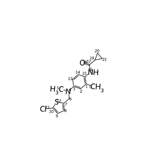 Cc1cc(N(C)Cc2ccc(Cl)s2)ccc1NC(=O)C1CC1